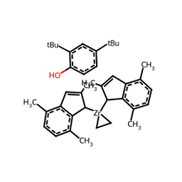 CC(C)(C)c1ccc(O)c(C(C)(C)C)c1.CC1=Cc2c(C)ccc(C)c2[CH]1[Zr]1([CH]2C(C)=Cc3c(C)ccc(C)c32)[CH2][CH2]1